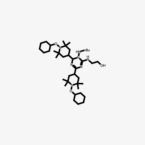 CCCCNN1C(NCCO)=NC(C2CC(C)(C)N(OC3CCCCC3)C(C)(C)C2)=NC1C1CC(C)(C)N(OC2CCCCC2)C(C)(C)C1